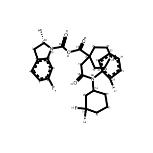 C[C@H]1Cc2ccc(F)cc2N1C(=O)OC(=O)C1(CC(=O)N(c2ccccc2F)C2CCCC(F)(F)C2)CCNCC1